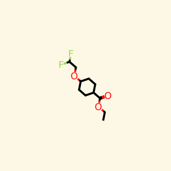 CCOC(=O)C1CCC(OCC(F)F)CC1